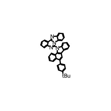 CC(C)(C)c1ccc(-c2cc3c4ccccc4n(-c4nc5ccccc5c5nc6ccccc6n45)c3c3ccccc23)cc1